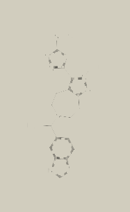 CC(=O)Nc1nnc(-c2c3c(nn2C)CCN(C(C)c2ccc4scnc4c2)CC3)s1